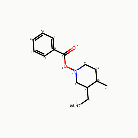 COCC1CN(OC(=O)c2ccccc2)CCC1C